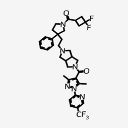 Cc1nn(-c2ccc(C(F)(F)F)cn2)c(C)c1C(=O)N1CC2CN(CCC3(c4ccccc4)CCN(C(=O)C4CC(F)(F)C4)C3)CC2C1